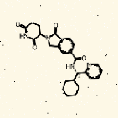 O=C1CCC(N2Cc3cc(C(=O)N[C@H](c4ccccn4)C4CCCCC4)ccc3C2=O)C(=O)N1